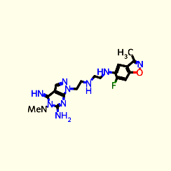 CNn1c(N)nc2c(cnn2CCNCCNc2cc3c(C)noc3cc2F)c1=N